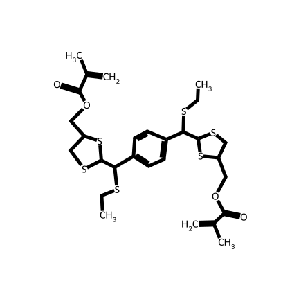 C=C(C)C(=O)OCC1CSC(C(SCC)c2ccc(C(SCC)C3SCC(COC(=O)C(=C)C)S3)cc2)S1